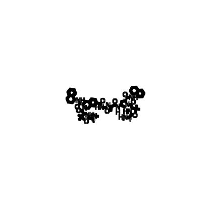 CN[C@@H](C)C(=O)N[C@H](C(=O)N1Cc2cc(C(=O)Nc3nc(C(=O)N[C@H]4C[C@@H](C(=O)N[C@@H]5CCCc6ccccc65)N(C(=O)[C@@H](NC(=O)[C@H](C)NC)C(C)(C)C)C4)co3)ccc2C[C@H]1C(=O)N[C@@H]1CCCc2ccccc21)C(C)(C)C